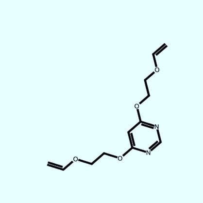 C=COCCOc1cc(OCCOC=C)ncn1